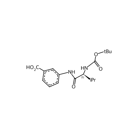 CC(C)[C@H](NC(=O)OC(C)(C)C)C(=O)Nc1cccc(C(=O)O)c1